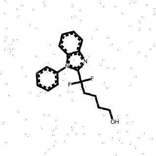 OCCCCC(F)(F)c1nc2ccccc2n1-c1ccccc1